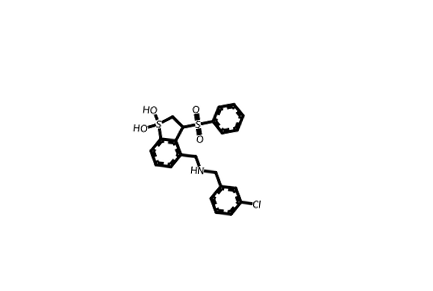 O=S(=O)(c1ccccc1)C1CS(O)(O)c2cccc(CNCc3cccc(Cl)c3)c21